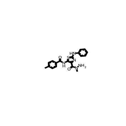 Cc1ccc(C(=O)Nc2sc(Nc3ccccc3)nc2C(=O)N(C)N)cc1